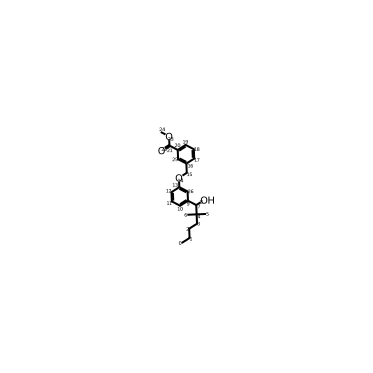 CCCCC(C)(C)C(O)c1cccc(OCc2cccc(C(=O)OC)c2)c1